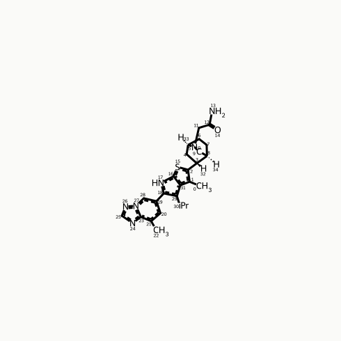 Cc1c([C@@H]2C[C@H]3CC[C@@H]2CN3CC(N)=O)sc2[nH]c(-c3cc(C)c4ncnn4c3)c(C(C)C)c12